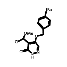 COC(Cl)c1c(OCc2ccc(C(C)(C)C)cc2)cn[nH]c1=O